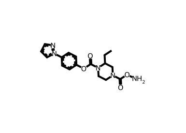 CCC1CN(C(=O)ON)CCN1C(=O)Oc1ccc(-n2cccn2)cc1